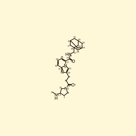 CNC1CCN(C(=O)CCc2cn3c(C(=O)NCC45CC6CC(CC(C6)C4)C5)cccc3n2)C1